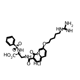 Cl.N=C(N)NCCCCCOc1ccc2ccc(C(=O)NC[C@H](NS(=O)(=O)c3ccccc3)C(=O)O)c(=O)n2c1